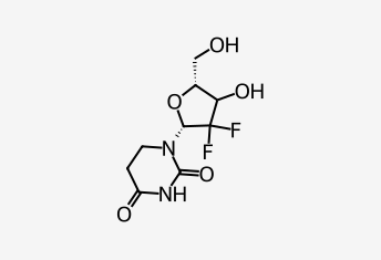 O=C1CCN([C@@H]2O[C@H](CO)C(O)C2(F)F)C(=O)N1